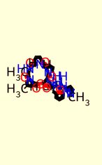 C[C@@H]1C[C@H]2C(=O)O[C@@H](C)[C@H](NC(=O)[C@H](Cc3ccccc3)NC(=O)Nc3ccn(C)n3)C(=O)N3CCC[C@H]3C(=O)N3CCCC[C@H]3C(=O)N[C@@H](C)C(=O)N2C1